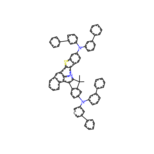 CC1(C)c2cc(N(c3cccc(-c4ccccc4)c3)c3cccc(-c4ccccc4)c3)ccc2-c2c1n1c3c4ccc(N(c5cccc(-c6ccccc6)c5)c5cccc(-c6ccccc6)c5)cc4sc3c3cc4ccccc4c2c31